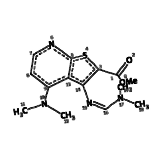 COC(=O)c1sc2nccc(N(C)C)c2c1/N=C\N(C)C